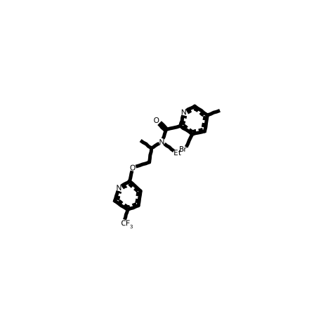 CCN(C(=O)c1ncc(C)cc1Br)C(C)COc1ccc(C(F)(F)F)cn1